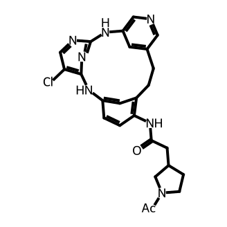 CC(=O)N1CCC(CC(=O)Nc2ccc3cc2CCc2cncc(c2)Nc2ncc(Cl)c(n2)N3)C1